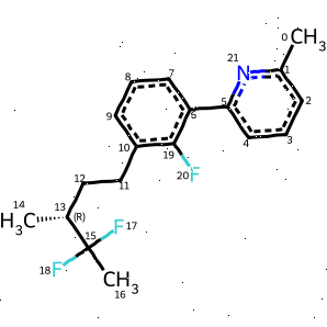 Cc1cccc(-c2cccc(CC[C@@H](C)C(C)(F)F)c2F)n1